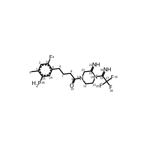 Cc1cc(F)c(CCCC(=O)N2CCN(C(=N)C(F)(F)F)C(=N)C2)cc1P